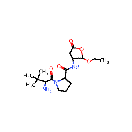 CCOC1OC(=O)CC1NC(=O)C1CCCN1C(=O)C(N)C(C)(C)C